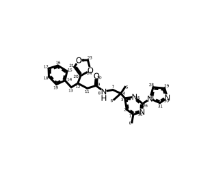 Cc1cc(C(C)(C)CNC(=O)CC(Cc2ccccc2)C2=COCO2)nc(-n2ccnc2)n1